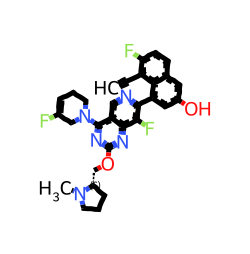 C#Cc1c(F)ccc2cc(O)cc(-c3ncc4c(N5CCC=C(F)C5)nc(OC[C@@H]5CCCN5C)nc4c3F)c12